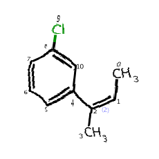 C/C=C(/C)c1cccc(Cl)c1